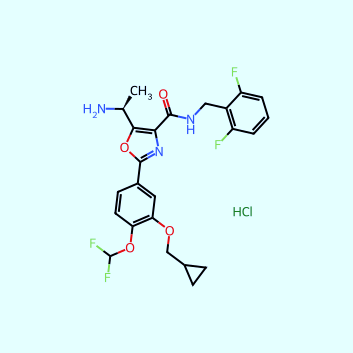 C[C@H](N)c1oc(-c2ccc(OC(F)F)c(OCC3CC3)c2)nc1C(=O)NCc1c(F)cccc1F.Cl